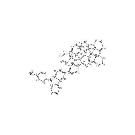 N#Cc1ccc(-n2c3ccccc3c3cc(-c4ccc5c(c4)C(c4ccccc4)(c4ccccc4)c4cc([Si](c6ccccc6)(c6ccccc6)c6ccccc6)ccc4-5)ccc32)cc1